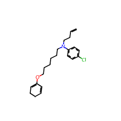 C=CCCN(CCCCCCOC1=CC[CH]C=C1)c1ccc(Cl)cc1